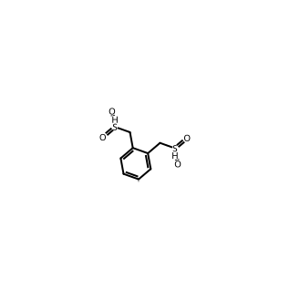 O=[SH](=O)Cc1c[c]ccc1C[SH](=O)=O